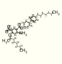 CCCCCCCc1cnc(-c2ccc(OC(=O)c3cc([N+](=O)[O-])c(OC(C)CCCCCC)cc3N)cc2)nc1